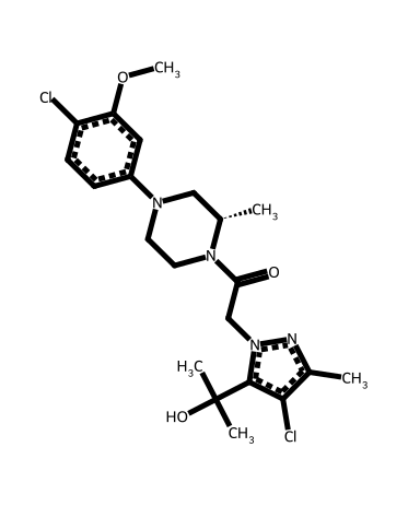 COc1cc(N2CCN(C(=O)Cn3nc(C)c(Cl)c3C(C)(C)O)[C@@H](C)C2)ccc1Cl